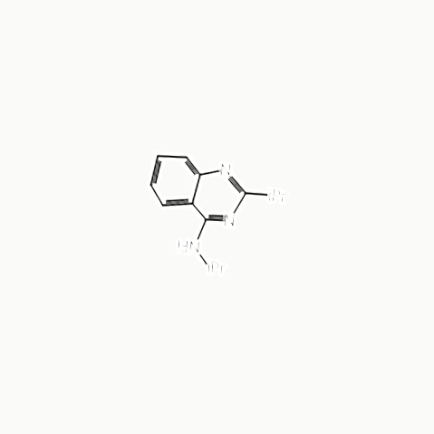 CC(C)Nc1nc(C(C)C)nc2ccccc12